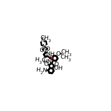 Cc1cc(S(=O)(=O)N2CCN(C)CC2)[nH]c1C(=O)N[C@]12C(=O)c3c(N)cccc3[C@@]1(O)Oc1cc(OC(C)C)ccc12